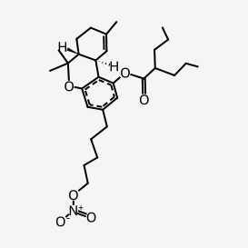 CCCC(CCC)C(=O)Oc1cc(CCCCCO[N+](=O)[O-])cc2c1[C@@H]1C=C(C)CC[C@H]1C(C)(C)O2